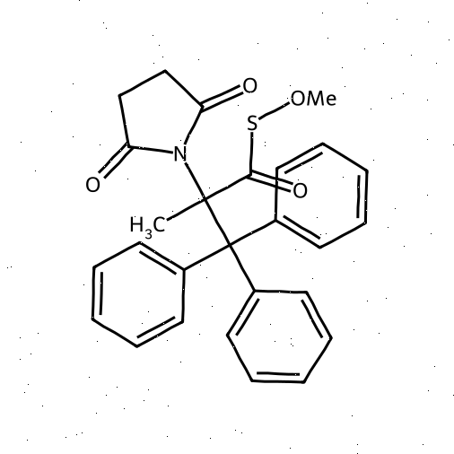 COSC(=O)C(C)(N1C(=O)CCC1=O)C(c1ccccc1)(c1ccccc1)c1ccccc1